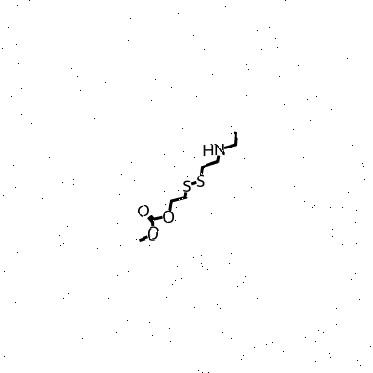 CCNCCSSCCOC(=O)OC